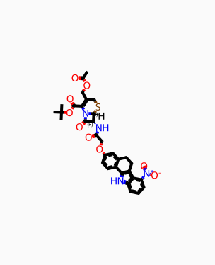 CC(=O)OCC1=C(C(=O)OC(C)(C)C)N2C(=O)[C@@H](NC(=O)COc3ccc4c(c3)CCc3c-4[nH]c4cccc([N+](=O)[O-])c34)[C@H]2SC1